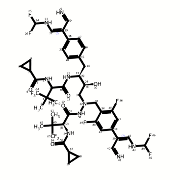 CC(C)(C(NC(=O)C1CC1)C(=O)N[C@@H](Cc1ccc(/C(C=N)=C/NC(F)F)cc1)[C@@H](O)CN(Cc1c(F)cc(/C(C=N)=C/NC(F)F)cc1F)NC(=O)[C@@H](NC(=O)C1CC1)C(C)(C)C(F)(F)F)C(F)(F)F